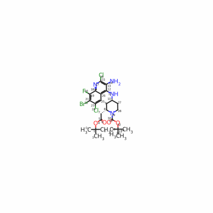 CC(C)(C)OC(=O)C[C@@H]1C[C@@H](Nc2c(N)c(Cl)nc3c(F)c(Br)c(Cl)cc23)CCN1C(=O)OC(C)(C)C